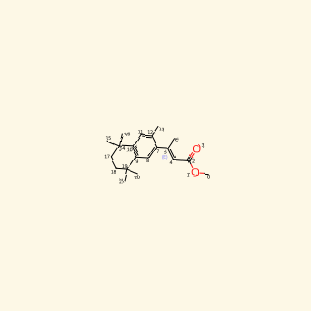 COC(=O)/C=C(\C)c1cc2c(cc1C)C(C)(C)CCC2(C)C